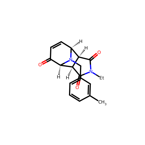 CCN1C(=O)[C@@H]2[C@H](C1=O)[C@@H]1C=CC(=O)[C@H]2N1Cc1cccc(C)c1